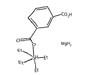 CC[SH](CC)(CC)(CC)OC(=O)c1cccc(C(=O)O)c1.[MgH2]